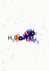 Cc1nn(Cc2ccc(S(C)(=O)=O)cc2)c(C)c1-c1c(C(N)=O)nc2cccc(F)c2c1C(N)=O